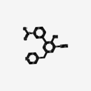 N#Cc1cc(Cc2ccncc2)cc(-c2cccc([N+](=O)[O-])c2)c1O